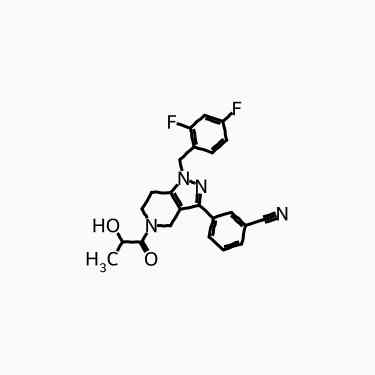 CC(O)C(=O)N1CCc2c(c(-c3cccc(C#N)c3)nn2Cc2ccc(F)cc2F)C1